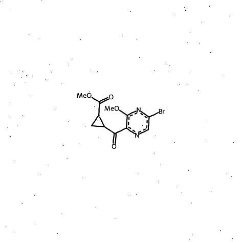 COC(=O)C1CC1C(=O)c1ncc(Br)nc1OC